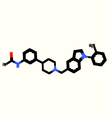 CC(C)C(=O)Nc1cccc(C2CCN(Cc3ccc4c(ccn4-c4ccccc4[N+](=O)[O-])c3)CC2)c1